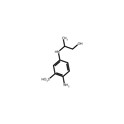 CC(CO)Nc1ccc(N)c(S(=O)(=O)O)c1